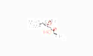 CC=CC(=O)C(O)CC[Si](C)(CCC(OC)OC)OCCC